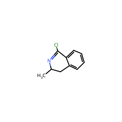 CC1Cc2ccccc2C(Cl)=N1